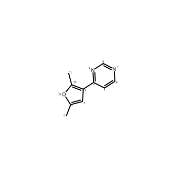 Cc1cc(-c2ccn[c]n2)c(C)o1